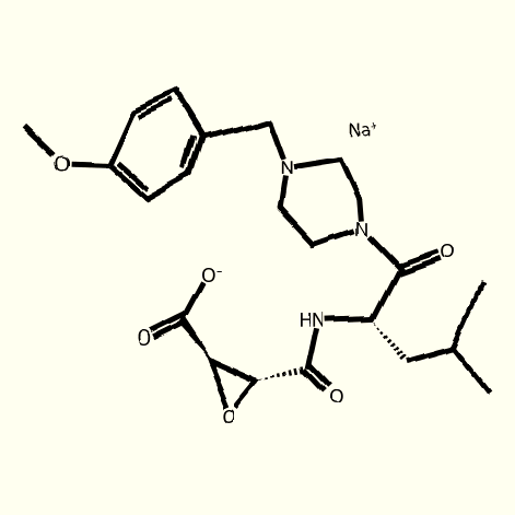 COc1ccc(CN2CCN(C(=O)[C@H](CC(C)C)NC(=O)[C@@H]3O[C@H]3C(=O)[O-])CC2)cc1.[Na+]